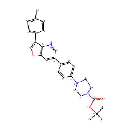 Cc1ccc(-c2coc3cc(-c4ccc(N5CCN(C(=O)OC(C)(C)C)CC5)cc4)cnc23)cc1